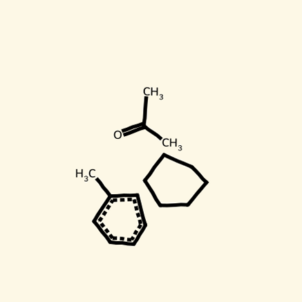 C1CCCCC1.CC(C)=O.Cc1ccccc1